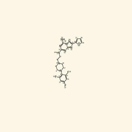 CN(CCN1CCN(c2c(F)cc(F)cc2F)CC1)c1nc(N)n2nc(-c3ccco3)nc2n1